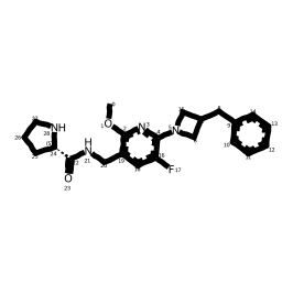 COc1nc(N2CC(Cc3ccccc3)C2)c(F)cc1CNC(=O)[C@@H]1CCCN1